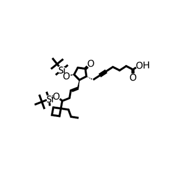 CCCC1(C(C/C=C/[C@H]2[C@H](O[Si](C)(C)C(C)(C)C)CC(=O)[C@@H]2CC#CCCCC(=O)O)O[Si](C)(C)C(C)(C)C)CCC1